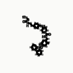 CC(C)(C)OC(=O)NCCc1ccc(NC2CCN(C(=O)NCc3ccc(O[Si](c4ccccc4)(c4ccccc4)C(C)(C)C)cc3F)CC2)cc1